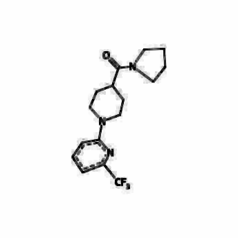 O=C(C1CCN(c2cccc(C(F)(F)F)n2)CC1)N1CCCC1